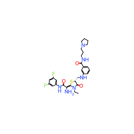 CCN1C(=O)[C@@H](CNc2cccc(C(=O)NCCCN3CCCC3)c2)S/C1=C(/N)C(=O)Nc1cc(F)cc(F)c1